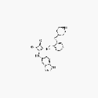 O=c1c(NCc2ccccc2OC2CCNCC2)c(Nc2ccc3[nH]cnc3c2)c1=O